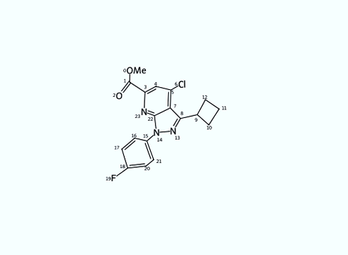 COC(=O)c1cc(Cl)c2c(C3CCC3)nn(-c3ccc(F)cc3)c2n1